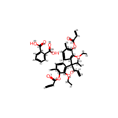 C=CC(=O)Oc1c(C)ccc(C(C(=O)C=C)(c2ccc(C)c(OC(=O)C=C)c2OCC)C(C)C)c1OCC.O=C(O)c1ccccc1C(=O)O